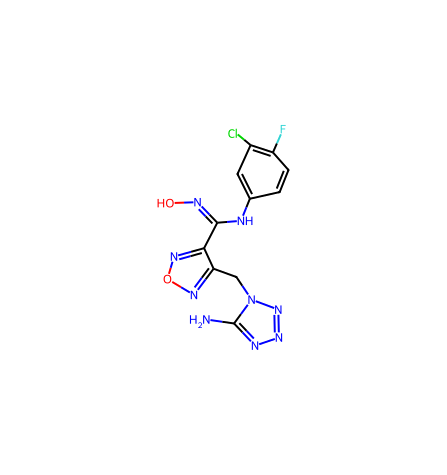 Nc1nnnn1Cc1nonc1C(=NO)Nc1ccc(F)c(Cl)c1